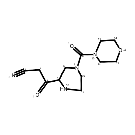 N#CCC(=O)C1CN(C(=O)N2CCOCC2)CCN1